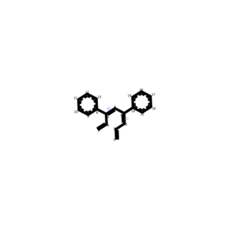 C=C/C=C(\C=C(/C=C)c1ccccc1)c1ccccc1